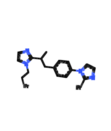 CC(C)CCn1ccnc1C(C)Cc1ccc(-n2ccnc2C(C)C)cc1